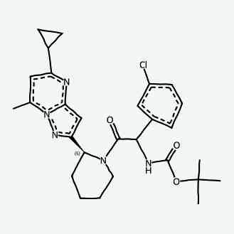 Cc1cc(C2CC2)nc2cc([C@@H]3CCCCN3C(=O)C(NC(=O)OC(C)(C)C)c3cccc(Cl)c3)nn12